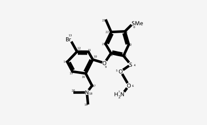 CSc1cc(SOON)c(Oc2cc(Br)ccc2CN(C)C)cc1C